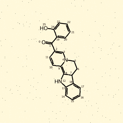 O=C(C1=CN2CCC3C(=C2C=C1)Nc1ccccc13)c1ccccc1O